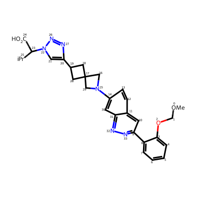 COCOc1ccccc1-c1cc2ccc(N3CC4(CC(c5cn(C(C(=O)O)C(C)C)nn5)C4)C3)cc2nn1